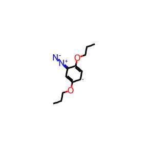 CCCOC1=CC(=[N+]=[N-])C(OCCC)=C[CH]1